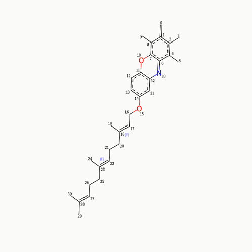 C=c1c(C)c(C)c2c(c1C)Oc1ccc(OC/C=C(\C)CC/C=C(\C)CCC=C(C)C)cc1N=2